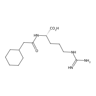 N=C(N)NCCC[C@H](NC(=O)CC1CCCCC1)C(=O)O